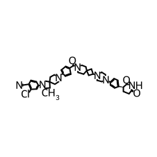 C[C@@H]1CC2(CCN(c3ccc(C(=O)N4CCC5(CC4)CC(N4CCN(c6ccc([C@@H]7CCC(=O)NC7=O)cc6)CC4)C5)cc3)CC2)CN1c1ccc(C#N)c(Cl)c1